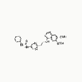 COc1cc2ncnc(NCCc3ncc(NC(=O)Nc4ccccc4)cn3)c2cc1OC